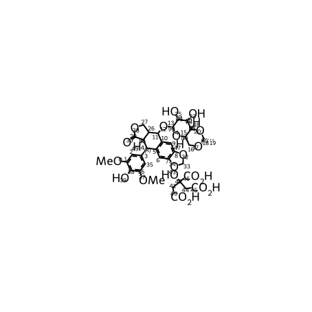 COc1cc([C@@H]2c3cc4c(cc3C(O[C@@H]3O[C@@H]5CO[C@@H](C)O[C@H]5[C@H](O)[C@H]3O)C3COC(=O)[C@@H]32)OCO4)cc(OC)c1O.O=C(O)CC(O)(CC(=O)O)C(=O)O